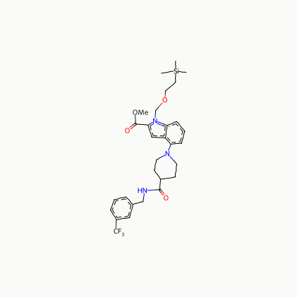 COC(=O)c1cc2c(N3CCC(C(=O)NCc4cccc(C(F)(F)F)c4)CC3)cccc2n1COCC[Si](C)(C)C